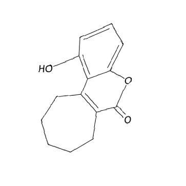 O=c1oc2cccc(O)c2c2c1CCCCC2